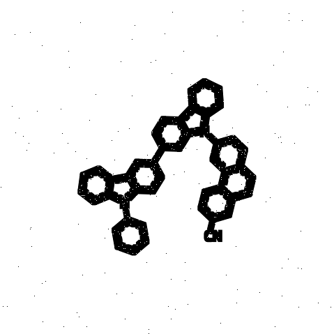 N#Cc1ccc2c(ccc3ccc(-n4c5ccccc5c5ccc(-c6ccc7c(c6)c6ccccc6n7-c6ccccc6)cc54)cc32)c1